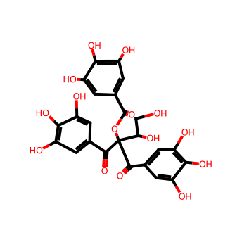 O=C(OC(C(=O)c1cc(O)c(O)c(O)c1)(C(=O)c1cc(O)c(O)c(O)c1)C(O)CO)c1cc(O)c(O)c(O)c1